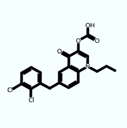 CCCn1cc(OC(=O)O)c(=O)c2cc(Cc3cccc(Cl)c3Cl)ccc21